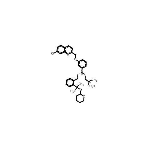 C[C@H](CS[C@H](CCc1ccccc1C(C)(C)OC1CCCCO1)c1cccc(OCc2ccc3ccc(Cl)cc3n2)c1)C(=O)O